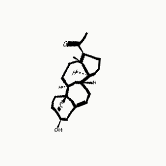 CC[C@]12CC[C@H](O)CC1=CC[C@@H]1[C@@H]2CC[C@]2(C)[C@@H](C(C)=O)CC[C@@H]12